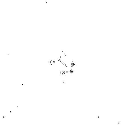 CC(N)=S.[CH3][Sn][CH3]